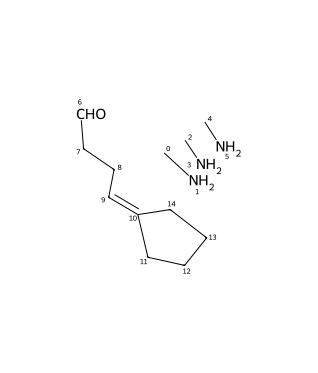 CN.CN.CN.O=CCCC=C1CCCC1